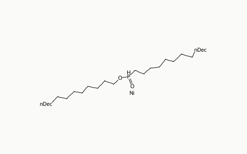 CCCCCCCCCCCCCCCCCCO[PH](=O)CCCCCCCCCCCCCCCCCC.[Ni]